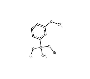 CCO[Si](C)(OCC)c1cccc(OC(F)(F)F)c1